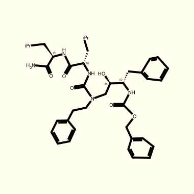 CC(C)C[C@H](NC(=O)N(CCc1ccccc1)C[C@@H](O)[C@H](Cc1ccccc1)NC(=O)OCc1ccccc1)C(=O)N[C@H](CC(C)C)C(N)=O